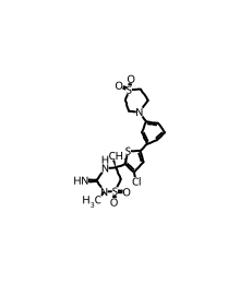 CN1C(=N)N[C@](C)(c2sc(-c3cccc(N4CCS(=O)(=O)CC4)c3)cc2Cl)CS1(=O)=O